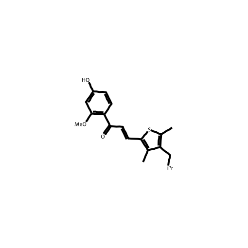 COc1cc(O)ccc1C(=O)C=Cc1sc(C)c(CC(C)C)c1C